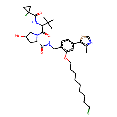 Cc1ncsc1-c1ccc(CNC(=O)[C@@H]2C[C@@H](O)CN2C(=O)C(NC(=O)C2(F)CC2)C(C)(C)C)c(OCCCCCCCCCBr)c1